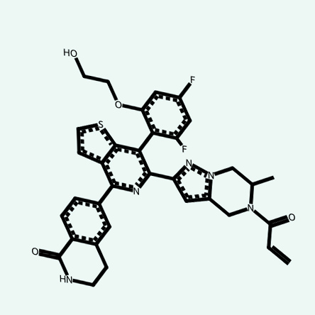 C=CC(=O)N1Cc2cc(-c3nc(-c4ccc5c(c4)CCNC5=O)c4ccsc4c3-c3c(F)cc(F)cc3OCCO)nn2CC1C